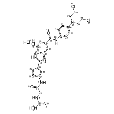 Cl.Cl.N=C(N)NCC(=O)Nc1cc(-c2nc3cc(C(=O)Nc4ccc(N(CCCl)CCCl)cc4)ccc3[nH]2)cs1